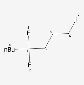 CCCCC(F)(F)CCCI